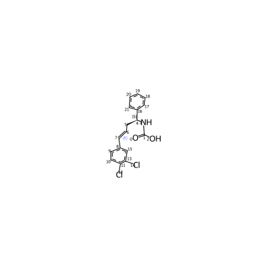 O=C(O)N[C@@H](C/C=C/c1ccc(Cl)c(Cl)c1)c1ccccc1